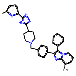 Cc1cccc(-c2nnc(C3CCN(Cc4ccc(-c5nc6c(C#N)cccn6c5-c5ccccc5)cc4)CC3)[nH]2)n1